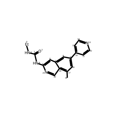 CCNC(=O)Nc1cc2cc(-c3ccncc3)cc(C)c2cn1